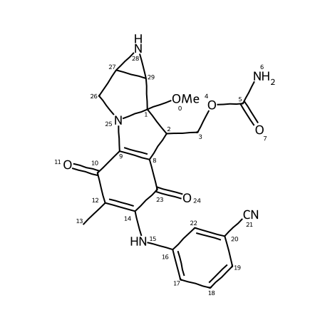 COC12C(COC(N)=O)C3=C(C(=O)C(C)=C(Nc4cccc(C#N)c4)C3=O)N1CC1NC12